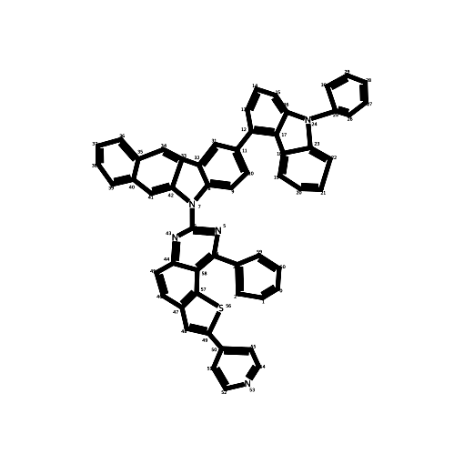 c1ccc(-c2nc(-n3c4ccc(-c5cccc6c5c5ccccc5n6-c5ccccc5)cc4c4cc5ccccc5cc43)nc3ccc4cc(-c5ccncc5)sc4c23)cc1